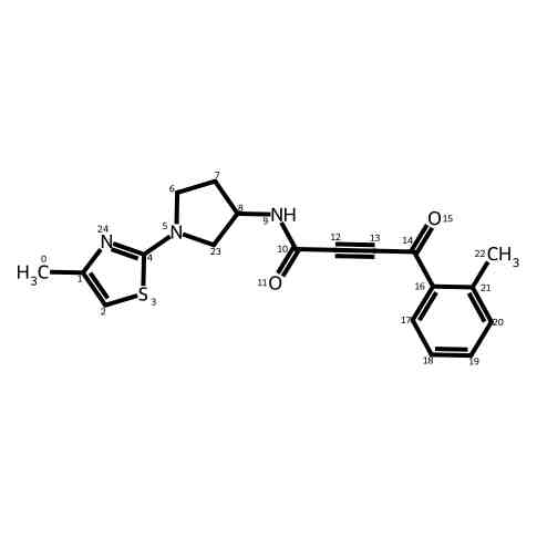 Cc1csc(N2CCC(NC(=O)C#CC(=O)c3ccccc3C)C2)n1